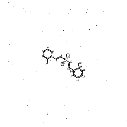 Cc1ccccc1C=CS(=O)(=O)C=Cc1ccccc1C